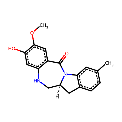 COc1cc2c(cc1O)NC[C@@H]1Cc3ccc(C)cc3N1C2=O